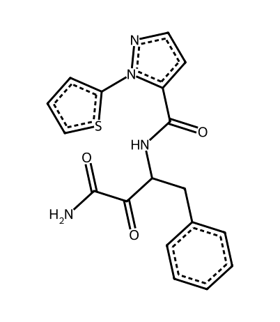 NC(=O)C(=O)C(Cc1ccccc1)NC(=O)c1ccnn1-c1cccs1